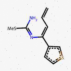 C=C/C=C(\N=C(/N)SC)c1ccsc1